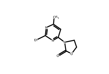 CCc1nc(C)cc(N2CCOC2=O)n1